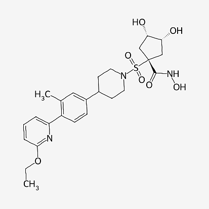 CCOc1cccc(-c2ccc(C3CCN(S(=O)(=O)[C@@]4(C(=O)NO)C[C@@H](O)[C@@H](O)C4)CC3)cc2C)n1